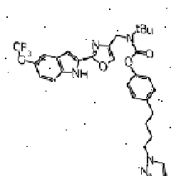 CC(C)(C)N(Cc1coc(-c2cc3cc(OC(F)(F)F)ccc3[nH]2)n1)C(=O)Oc1ccc(CCCCn2ccnn2)cc1